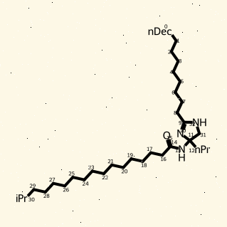 CCCCCCCCCCCCCCCCCCC1=NC(CCC)(NC(=O)CCCCCCCCCCCCCCC(C)C)CN1